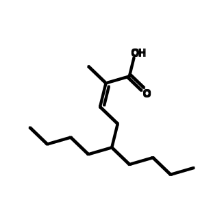 CCCCC(CC=C(C)C(=O)O)CCCC